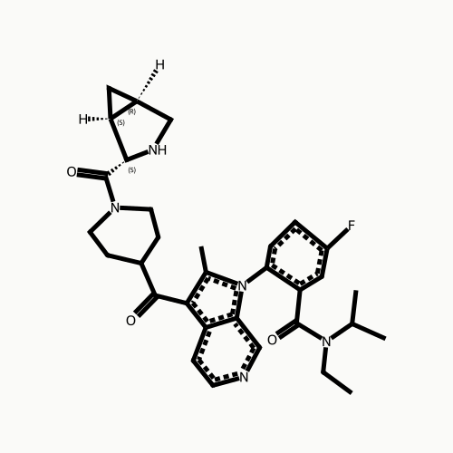 CCN(C(=O)c1cc(F)ccc1-n1c(C)c(C(=O)C2CCN(C(=O)[C@H]3NC[C@@H]4C[C@@H]43)CC2)c2ccncc21)C(C)C